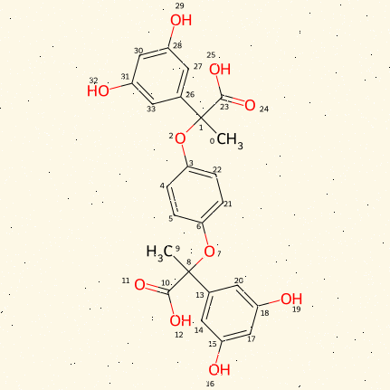 CC(Oc1ccc(OC(C)(C(=O)O)c2cc(O)cc(O)c2)cc1)(C(=O)O)c1cc(O)cc(O)c1